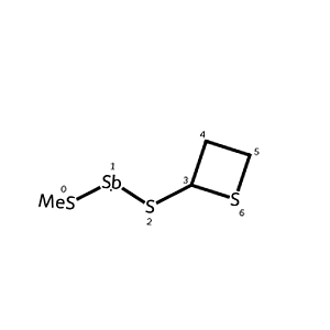 C[S][Sb][S]C1CCS1